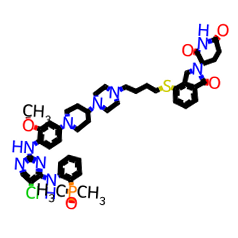 COc1cc(N2CCC(N3CCN(CCCCSc4cccc5c4CN(C4CCC(=O)NC4=O)C5=O)CC3)CC2)ccc1Nc1ncc(Cl)c(Nc2ccccc2P(C)(C)=O)n1